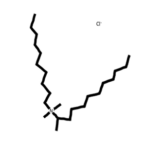 CCCCCCCCCCC(C)[N+](C)(C)CCCCCCCCCC.[Cl-]